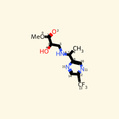 COC(=O)C(O)CNC(C)c1cnc(C(F)(F)F)cn1